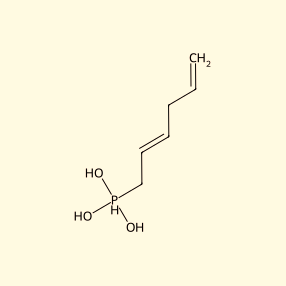 C=CCC=CC[PH](O)(O)O